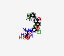 N#CC(=NNc1cc(Cl)c(Oc2ccc3c(c2)CCN(Cc2cccc(C(F)(F)F)c2)C3=O)c(Cl)c1)C(=O)NC(=O)O